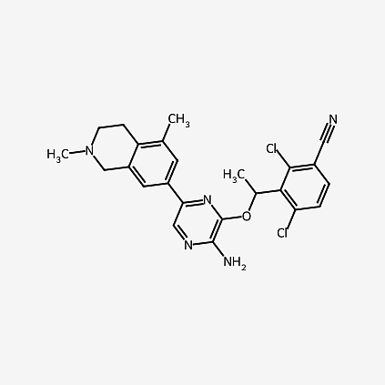 Cc1cc(-c2cnc(N)c(OC(C)c3c(Cl)ccc(C#N)c3Cl)n2)cc2c1CCN(C)C2